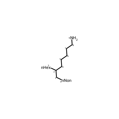 CCCCCCCCCCC(CCCCCC)CCCCCN